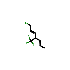 CCCC(C=CCF)C(F)(F)F